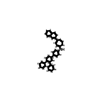 C1=CC(c2ccc3ccccc3c2)=CC=C(Nc2ccc(-c3ccc(-c4ccccc4)c(-c4ccccc4)c3)cc2)C1